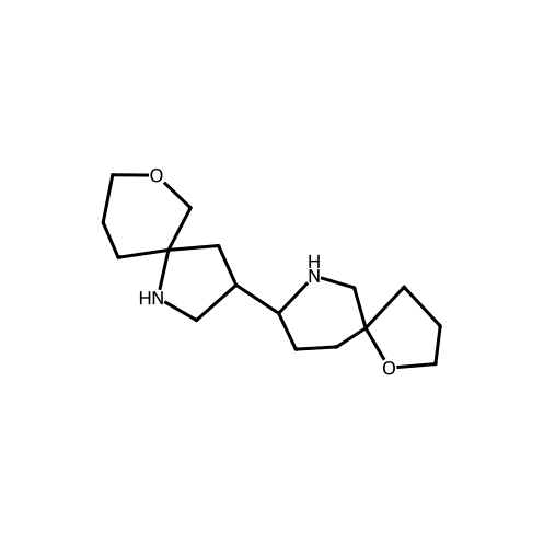 C1COCC2(C1)CC(C1CCC3(CCCO3)CN1)CN2